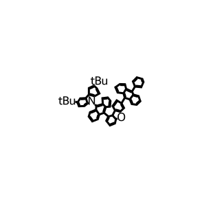 CC(C)(C)c1ccc2c(c1)c1cc(C(C)(C)C)ccc1n2-c1c2ccccc2c(C2=CC=CC3Oc4cc(-c5c6ccccc6c(-c6ccccc6)c6ccccc56)ccc4C23)c2ccccc12